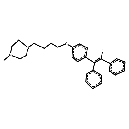 CN1CCN(CCCCOc2ccc(C(=C(Cl)c3ccccc3)c3ccccc3)cc2)CC1